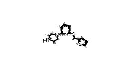 c1cc(OCc2cccs2)nc(N2CCNCC2)c1